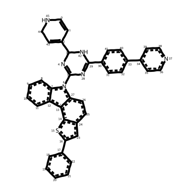 C1=CC(C2N=C(n3c4ccccc4c4c5sc(-c6ccccc6)cc5ccc43)N=C(c3ccc(-c4ccncc4)cc3)N2)=CCN1